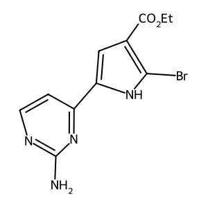 CCOC(=O)c1cc(-c2ccnc(N)n2)[nH]c1Br